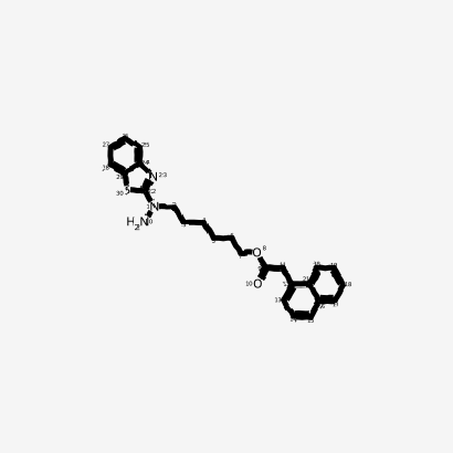 NN(CCCCCCOC(=O)Cc1cccc2ccccc12)c1nc2ccccc2s1